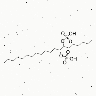 CCCCCCCCCCCCC(OS(=O)(=O)O)C(CCCCCC)OS(=O)(=O)O